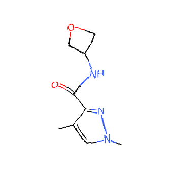 Cc1cn(C)nc1C(=O)NC1COC1